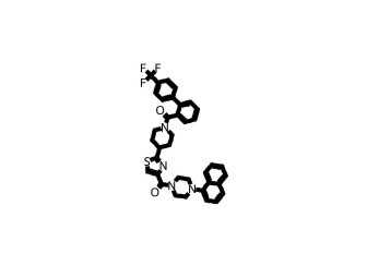 O=C(c1csc(C2CCN(C(=O)c3ccccc3-c3ccc(C(F)(F)F)cc3)CC2)n1)N1CCN(c2cccc3ccccc23)CC1